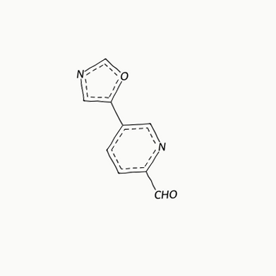 O=Cc1ccc(-c2cnco2)cn1